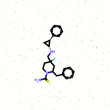 NC(=S)N1CCC(F)(CN[C@@H]2C[C@H]2c2ccccc2)CC1Cc1ccccc1